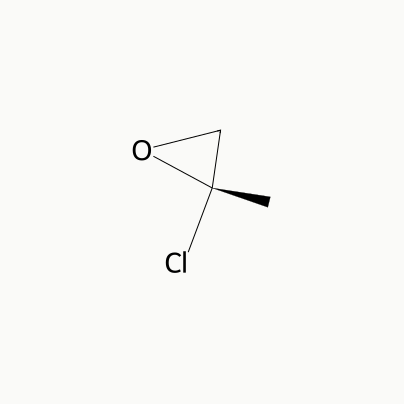 C[C@]1(Cl)CO1